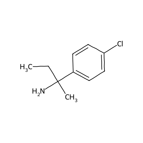 CCC(C)(N)c1ccc(Cl)cc1